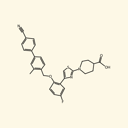 Cc1cc(-c2ccc(C#N)cc2)ccc1COc1ccc(F)cc1-c1csc(N2CCC(C(=O)O)CC2)n1